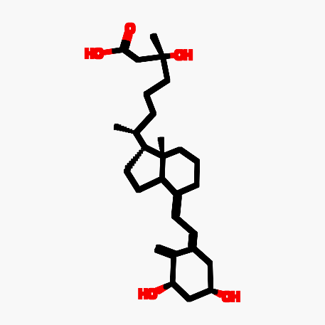 C=C1/C(=C\C=C2CCC[C@@]3(C)C2CC[C@@H]3[C@H](C)CCC[C@@](C)(O)CC(=O)O)C[C@@H](O)C[C@H]1O